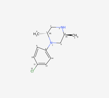 C[C@@H]1CN[C@@H](C)CN1c1ccc(Cl)cc1